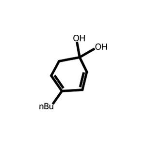 CCCCC1=CCC(O)(O)C=C1